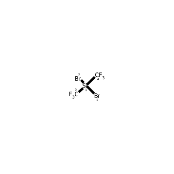 FC(F)(F)[Si](Br)(Br)C(F)(F)F